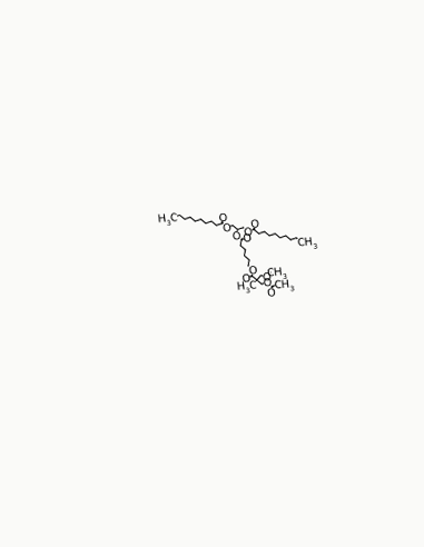 CCCCCCCCCC(=O)OCC(COC(=O)CCCCCCCCC)OC(=O)CCCCCOC(=O)C(C)(COC)COC(C)=O